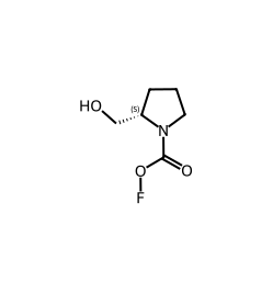 O=C(OF)N1CCC[C@H]1CO